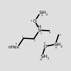 CCCCCCCC[SiH](C)O[SiH3].C[SiH2]O[SiH3]